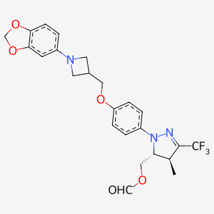 C[C@@H]1C(C(F)(F)F)=NN(c2ccc(OCC3CN(c4ccc5c(c4)OCO5)C3)cc2)[C@H]1COC=O